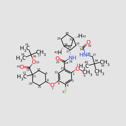 COc1cc(F)c(OC2CCC(C)(C(=O)OC(C)(C)C)CC2)cc1C(=O)N[C@@H]1[C@H]2CC[C@H](C2)[C@@H]1C(=O)NCC(C)(C)C